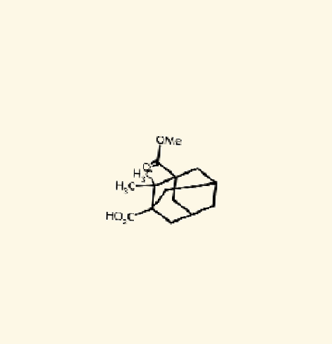 COC(=O)C12CC3CC(CC(C(=O)O)(C3)C1(C)C)C2